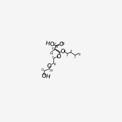 CCCCOC(OCCOCCO)=C(C)C(=O)O